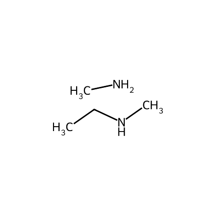 CCNC.CN